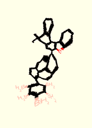 Bc1c(B)c(B)c(-c2ccc3ccc4c(-c5cc6c(c7c5oc5ccccc57)-c5ccccc5C6(C)C)ccc5ccc2c3c54)c(B)c1B